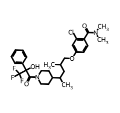 CC(COc1ccc(C(=O)N(C)C)c(Cl)c1)CC(C)C1CCN(C(=O)C(O)(c2ccccc2)C(F)(F)F)CC1